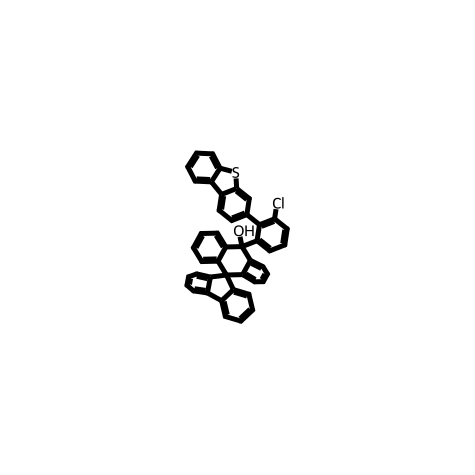 OC1(c2cccc(Cl)c2-c2ccc3c(c2)sc2ccccc23)c2ccccc2C2(c3ccccc3-c3ccccc32)c2ccccc21